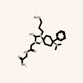 COCCCN1C(O)N(CC(=O)NCC(N)=O)C[C@]12CC[C@](c1ccccc1)(N(C)C)CC2